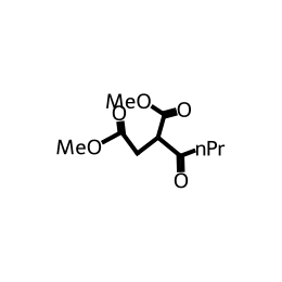 CCCC(=O)C(CC(=O)OC)C(=O)OC